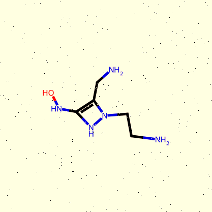 NCCn1[nH]c(NO)c1CN